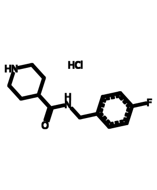 Cl.O=C(NCc1ccc(F)cc1)C1CCNCC1